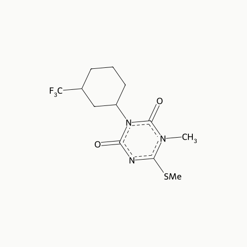 CSc1nc(=O)n(C2CCCC(C(F)(F)F)C2)c(=O)n1C